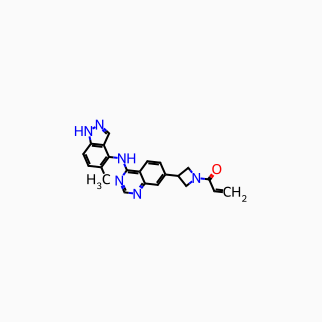 C=CC(=O)N1CC(c2ccc3c(Nc4c(C)ccc5[nH]ncc45)ncnc3c2)C1